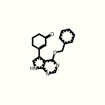 O=C1C=C(c2c[nH]c3ncnc(OCc4ccccc4)c23)CCC1